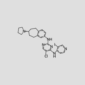 Clc1cnc(Nc2ccc3c(c2)CC[C@@H](N2CCCC2)CC3)nc1Nc1ccncc1I